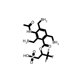 BCc1cc(CB)c(C(=O)OC(CS(=O)(=O)O)C(F)(F)F)c(CB)c1NC(C)=O